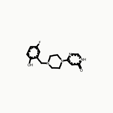 O=c1cc(N2CCN(Cc3cc(F)ccc3O)CC2)nc[nH]1